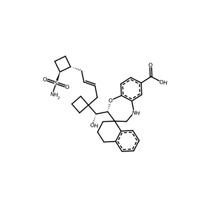 NS(=O)(=O)[C@H]1CC[C@@H]1C/C=C/CC1([C@@H](O)[C@@H]2Oc3ccc(C(=O)O)cc3NCC23CCCc2ccccc23)CCC1